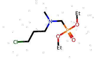 CCOP(=O)(CN(C)CCCCl)OCC